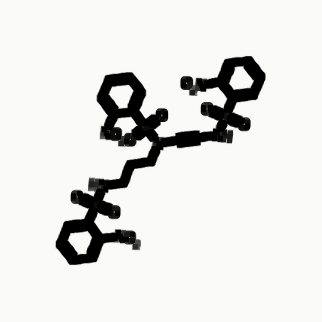 O=[N+]([O-])c1ccccc1S(=O)(=O)NC#CN(CCCNS(=O)(=O)c1ccccc1[N+](=O)[O-])S(=O)(=O)c1ccccc1[N+](=O)[O-]